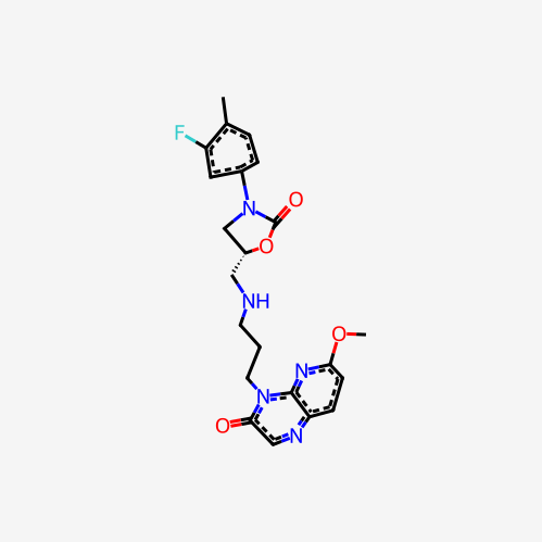 COc1ccc2ncc(=O)n(CCCNC[C@@H]3CN(c4ccc(C)c(F)c4)C(=O)O3)c2n1